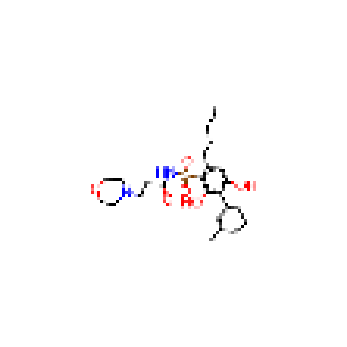 CCCCCc1cc(O)c(C2C=C(C)CCC2)c(O)c1S(=O)(=O)NC(=O)CCN1CCOCC1